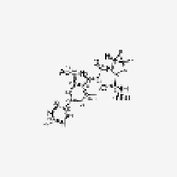 CCCCNC(=O)[C@@H]1C[C@@]2(C)C[C@H]2N1C(=O)Cn1nc(C(C)=O)c2cc(-c3cnc(C)nc3)cc(C)c21